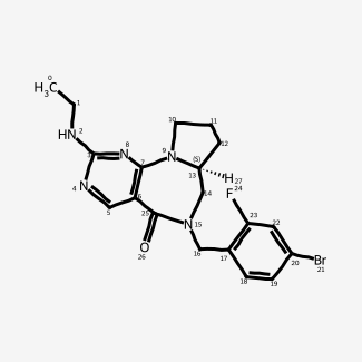 CCNc1ncc2c(n1)N1CCC[C@H]1CN(Cc1ccc(Br)cc1F)C2=O